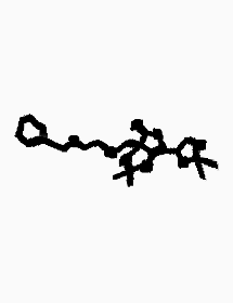 CC1(C)OCC(C2=C3OC(C)(C)O[C@]3(COCCOCc3ccccc3)C(=O)O2)O1